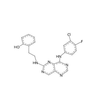 Oc1ccccc1CCNc1ncc2ncnc(Nc3ccc(F)c(Cl)c3)c2n1